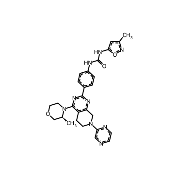 Cc1cc(NC(=O)Nc2ccc(-c3nc4c(c(N5CCOC[C@@H]5C)n3)CCN(c3cnccn3)C4)cc2)on1